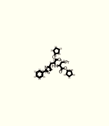 CC(C)CC(NC(Cc1csc(-c2ccccc2)n1)C(=O)OC1CCCC1)C(=O)OC1CCCC1